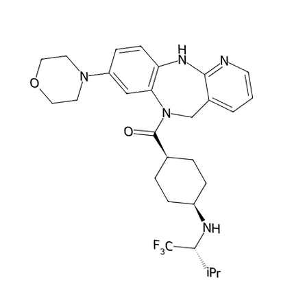 CC(C)[C@@H](N[C@H]1CC[C@@H](C(=O)N2Cc3cccnc3Nc3ccc(N4CCOCC4)cc32)CC1)C(F)(F)F